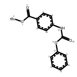 CC(C)(C)OC(=O)c1ccc(NC(=O)Oc2ccccc2)cc1